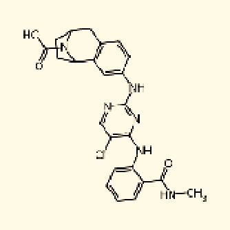 CNC(=O)c1ccccc1Nc1nc(Nc2ccc3c(c2)C2CCC(C3)N2C(=O)O)ncc1Cl